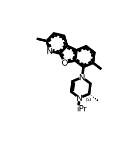 Cc1ccc2c(n1)oc1c(N3C=CN(C(C)C)[C@@H](C)C3)c(C)ccc12